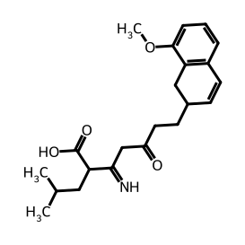 COc1cccc2c1CC(CCC(=O)CC(=N)C(CC(C)C)C(=O)O)C=C2